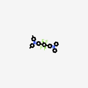 Cc1ccc(N(c2ccc(C)cc2)c2ccc(-c3c(F)c(F)c(-c4ccc(N(c5ccccc5)c5ccccc5)cc4)c(F)c3F)cc2)cc1